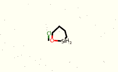 C1CC[SiH2]OC1.CCl